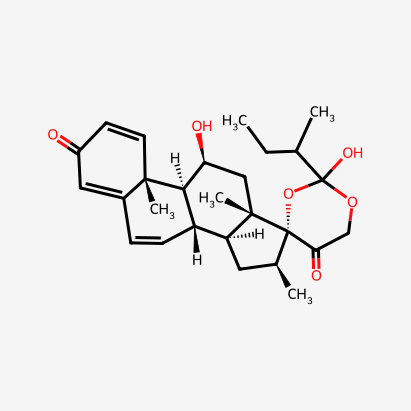 CCC(C)C1(O)OCC(=O)[C@@]2(O1)[C@@H](C)C[C@H]1[C@@H]3C=CC4=CC(=O)C=C[C@]4(C)[C@H]3[C@@H](O)C[C@@]12C